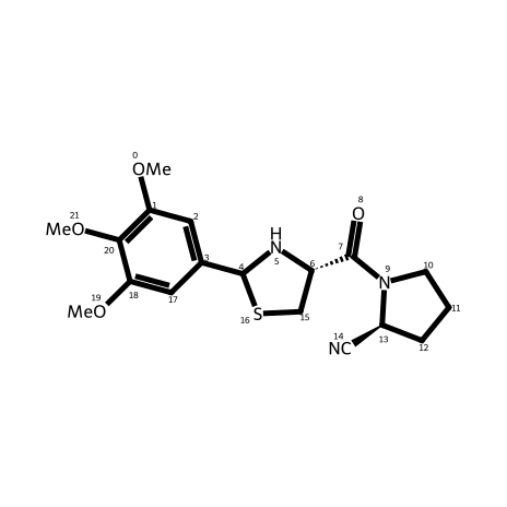 COc1cc(C2N[C@H](C(=O)N3CCC[C@H]3C#N)CS2)cc(OC)c1OC